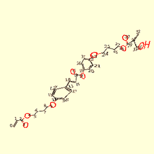 C=CC(=O)OCCCCOc1ccc(/C=C/C(=O)Oc2ccc(OCCCCOC(=O)C(=C)CO)cc2)cc1